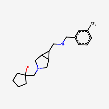 OC1(CN2CC3C(CNCc4cccc(C(F)(F)F)c4)C3C2)CCCC1